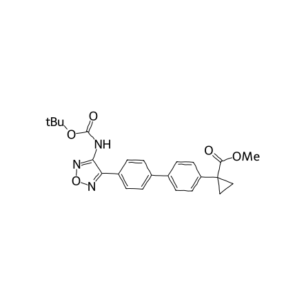 COC(=O)C1(c2ccc(-c3ccc(-c4nonc4NC(=O)OC(C)(C)C)cc3)cc2)CC1